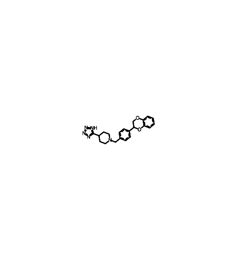 c1ccc2c(c1)OCC(c1ccc(CN3CCC(c4nnn[nH]4)CC3)cc1)O2